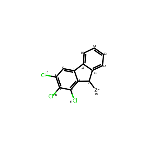 Clc1cc2c(c(Cl)c1Cl)[CH]([Zr])c1ccccc1-2